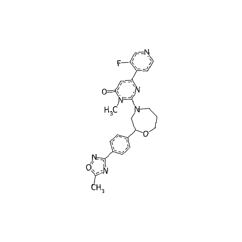 Cc1nc(-c2ccc(C3CN(c4nc(-c5ccncc5F)cc(=O)n4C)CCCO3)cc2)no1